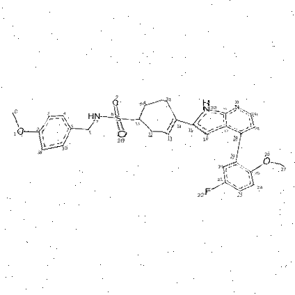 COc1ccc(CNS(=O)(=O)C2CC=C(c3cc4c(-c5cc(F)ccc5OC)ccnc4[nH]3)CC2)cc1